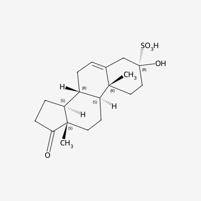 C[C@]12CC[C@@](O)(S(=O)(=O)O)CC1=CC[C@@H]1[C@@H]2CC[C@]2(C)C(=O)CC[C@@H]12